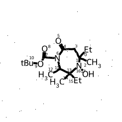 CCC1(C)CC(=O)N(C(=O)OC(C)(C)C)C(C)C(C)(CC)N1O